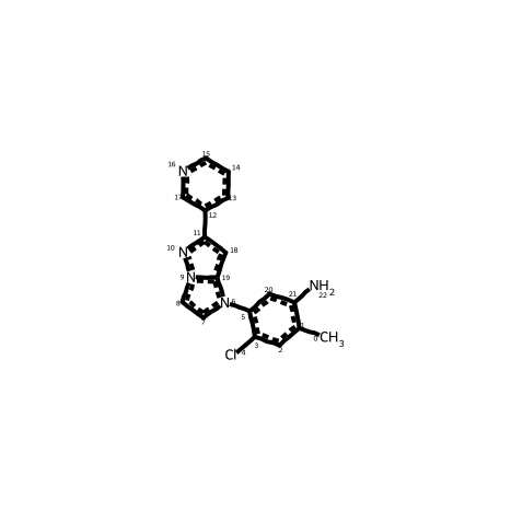 Cc1cc(Cl)c(-n2ccn3nc(-c4cccnc4)cc23)cc1N